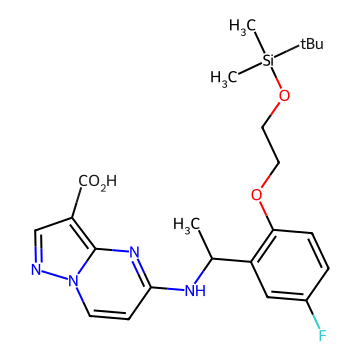 CC(Nc1ccn2ncc(C(=O)O)c2n1)c1cc(F)ccc1OCCO[Si](C)(C)C(C)(C)C